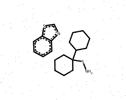 NSC1(C2CCCCC2)CCCCC1.c1ccc2scnc2c1